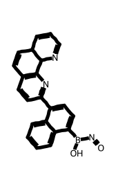 O=NB(O)c1ccc(-c2ccc3c(n2)C2N=CC=CC2C=C3)c2ccccc12